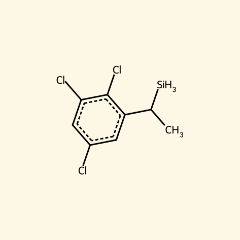 CC([SiH3])c1cc(Cl)cc(Cl)c1Cl